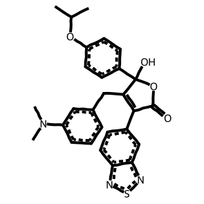 CC(C)Oc1ccc(C2(O)OC(=O)C(c3ccc4nsnc4c3)=C2Cc2cccc(N(C)C)c2)cc1